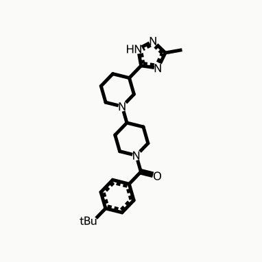 Cc1n[nH]c(C2CCCN(C3CCN(C(=O)c4ccc(C(C)(C)C)cc4)CC3)C2)n1